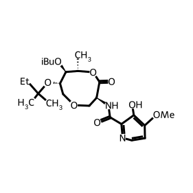 CCC(C)(C)O[C@H]1COC[C@H](NC(=O)c2nccc(OC)c2O)C(=O)O[C@@H](C)[C@@H]1OCC(C)C